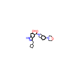 O=C(c1cc2c(CC3CCCC3)n[nH]c2cc1O)N1Cc2ccc(N3CCOCC3)cc2C1